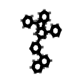 c1ccc(-c2nc(-c3cccc(-c4cccc5ccccc45)c3)nc3c2c2ccccc2n3-c2ccccc2)cc1